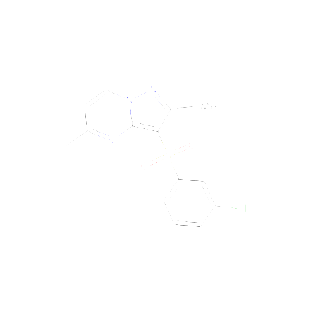 CSc1nn2ccc(C)nc2c1S(=O)(=O)c1cccc(Cl)c1